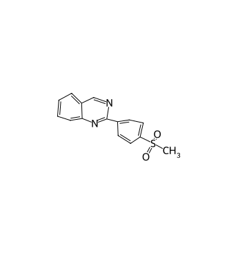 CS(=O)(=O)c1ccc(-c2ncc3ccccc3n2)cc1